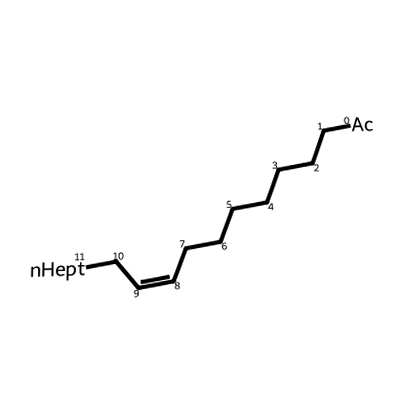 [CH2]C(=O)CCCCCCC/C=C\CCCCCCCC